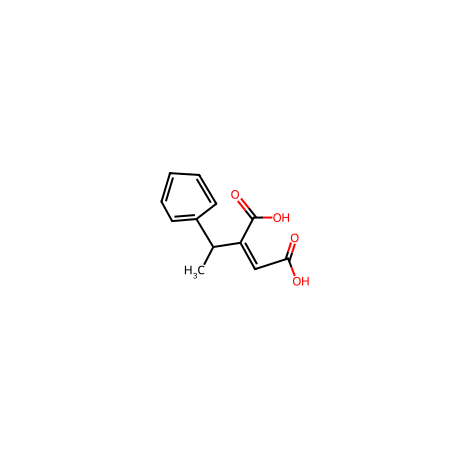 CC(/C(=C/C(=O)O)C(=O)O)c1ccccc1